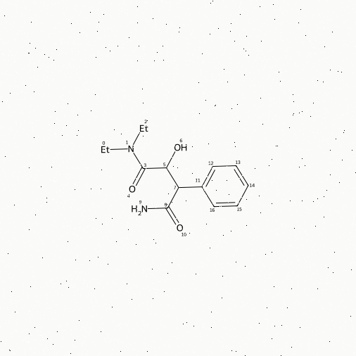 CCN(CC)C(=O)C(O)C(C(N)=O)c1ccccc1